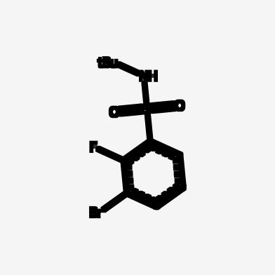 CC(C)(C)NS(=O)(=O)c1cccc(Br)c1F